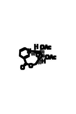 CC(=O)O[C@@H]1[C@H](OC(C)=O)[C@H]2COC(=O)C3=CN(C=CC3)[C@@H]1O2